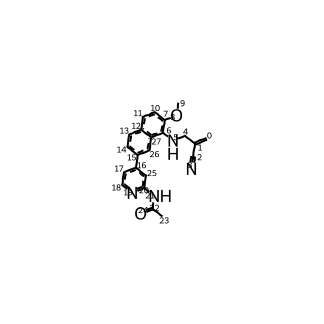 C=C(C#N)CNc1c(OC)ccc2ccc(-c3ccnc(NC(C)=O)c3)cc12